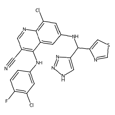 N#Cc1cnc2c(Cl)cc(NC(c3cscn3)c3c[nH]nn3)cc2c1Nc1ccc(F)c(Cl)c1